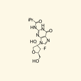 CC(C)C(=O)Nc1nc2c(ncn2[C@]2(O)CO[C@H](CO)[C@H]2F)c(=O)[nH]1